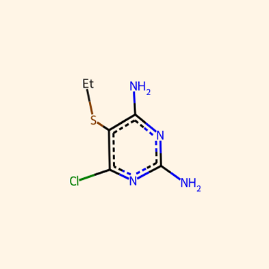 CCSc1c(N)nc(N)nc1Cl